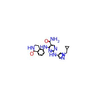 NC(=O)c1cnc(Nc2cnn(CC3CC3)c2)nc1Nc1cccc2c1CCNC2=O